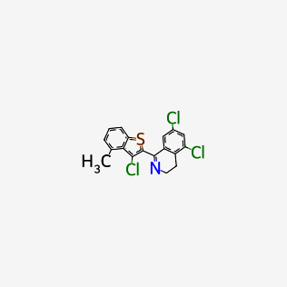 Cc1cccc2sc(C3=NCCc4c(Cl)cc(Cl)cc43)c(Cl)c12